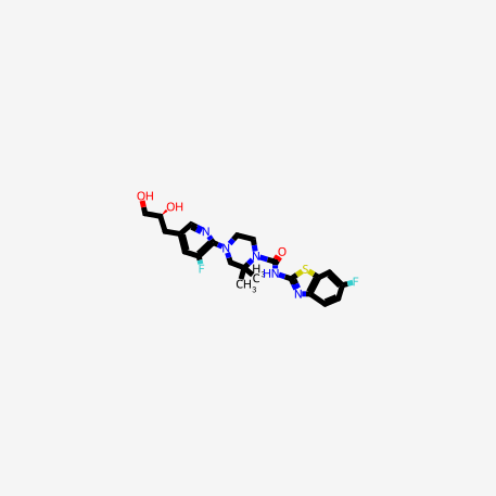 CC1(C)CN(c2ncc(C[C@@H](O)CO)cc2F)CCN1C(=O)Nc1nc2ccc(F)cc2s1